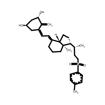 C=C1/C(=C\C=C2/CCC[C@]3(C)[C@@H]([C@H](C)CCS(=O)(=O)c4ccc(C)cc4)CC[C@@H]23)C[C@@H](O)C[C@@H]1O